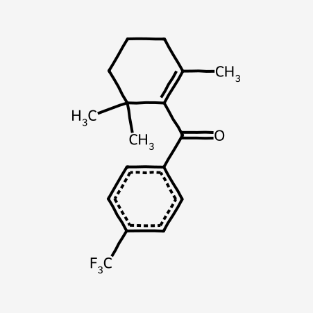 CC1=C(C(=O)c2ccc(C(F)(F)F)cc2)C(C)(C)CCC1